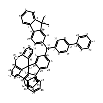 CC1(C)c2ccccc2-c2ccc(N(c3ccc(-c4ccccc4)cc3)c3ccc4c(c3)C3(c5ccccc5Oc5cccc(-c6ccccc6)c53)c3ccccc3-4)cc21